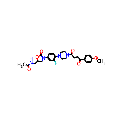 COc1ccc(C(=O)C=CC(=O)N2CCN(c3ccc(N4CC(CNC(C)=O)OC4=O)cc3F)CC2)cc1